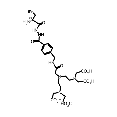 CC(C)C[C@@H](N)C(=O)NNC(=O)c1ccc(CNC(=O)CN(CCN(CC(=O)O)CC(=O)O)CCN(CC(=O)O)CC(=O)O)cc1